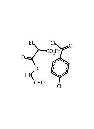 CCOC(=O)C(CC)C(=O)ONC=O.O=C(Cl)c1ccc(Cl)cc1